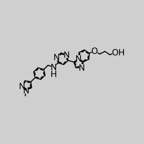 Cn1cc(-c2ccc(CNc3cc(-c4cnc5cc(OCCCO)ccn45)ncn3)cc2)cn1